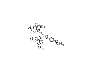 COc1ccc(CO[C@@H](C/C=C/COC(=O)C(C)(C)C)[C@H]2COC(C)(C)O2)cc1